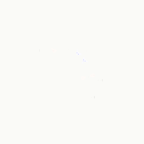 CCOc1ccc(Cc2csc(N3CCC(S(=O)(=O)c4c(C)cc(C)cc4C)CC3)n2)cc1